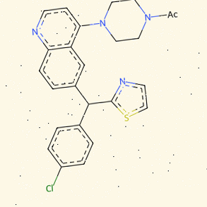 CC(=O)N1CCN(c2c[c]nc3ccc(C(c4ccc(Cl)cc4)c4nccs4)cc23)CC1